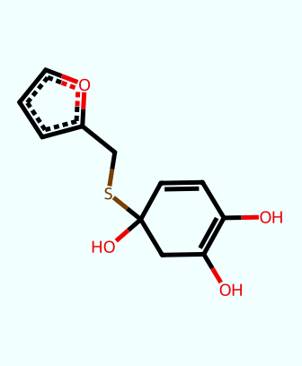 OC1=C(O)CC(O)(SCc2ccco2)C=C1